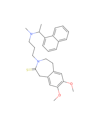 COc1cc2c(cc1OC)CC(=S)N(CCCN(C)C(C)c1cccc3ccccc13)CC2